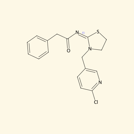 O=C(Cc1ccccc1)/N=C1/SCCN1Cc1ccc(Cl)nc1